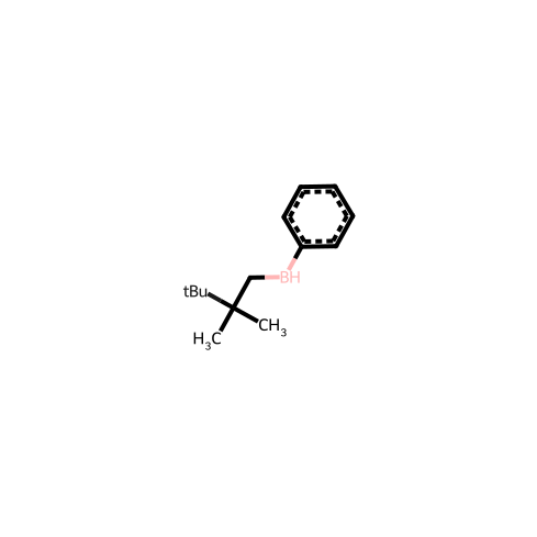 CC(C)(C)C(C)(C)CBc1ccccc1